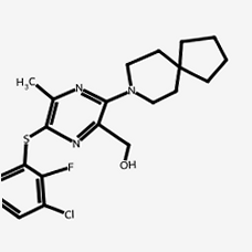 Cc1nc(N2CCC3(CCCC3)CC2)c(CO)nc1Sc1cccc(Cl)c1F